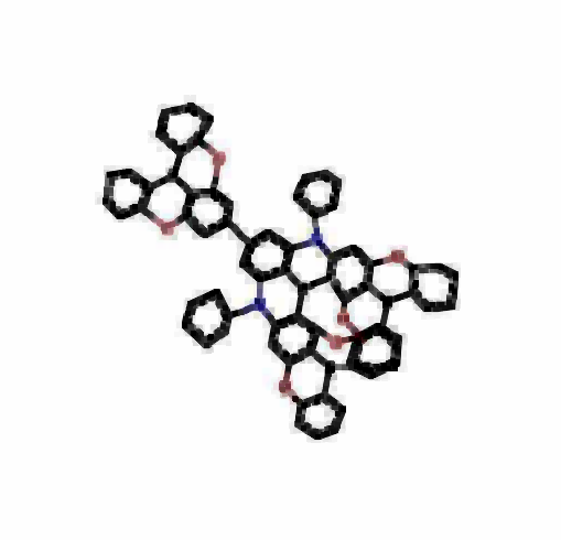 c1ccc(N2c3cc(-c4cc5c6c(c4)Oc4ccccc4B6c4ccccc4O5)cc4c3B(c3c2cc2c5c3Oc3ccccc3B5c3ccccc3O2)c2c(cc3c5c2Oc2ccccc2B5c2ccccc2O3)N4c2ccccc2)cc1